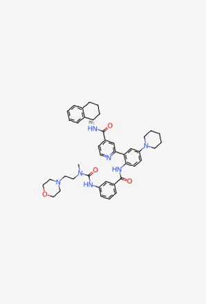 CN(CCN1CCOCC1)C(=O)Nc1cccc(C(=O)Nc2ccc(N3CCCCC3)cc2-c2cc(C(=O)N[C@H]3CCCc4ccccc43)ccn2)c1